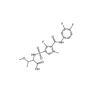 COC(C)C(NS(=O)(=O)c1cn(C)c(C(=O)Nc2ccc(F)c(F)c2)c1F)C(=O)O